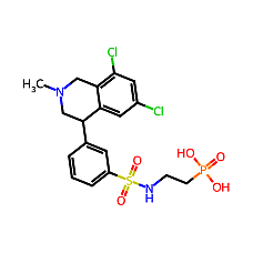 CN1Cc2c(Cl)cc(Cl)cc2C(c2cccc(S(=O)(=O)NCCP(=O)(O)O)c2)C1